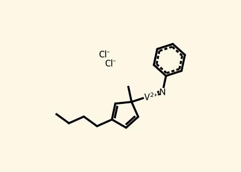 CCCCC1=C[C](C)(/[V+2]=[N]/c2ccccc2)C=C1.[Cl-].[Cl-]